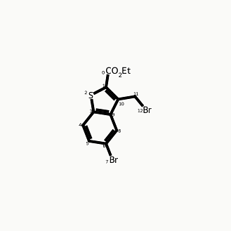 CCOC(=O)c1sc2ccc(Br)cc2c1CBr